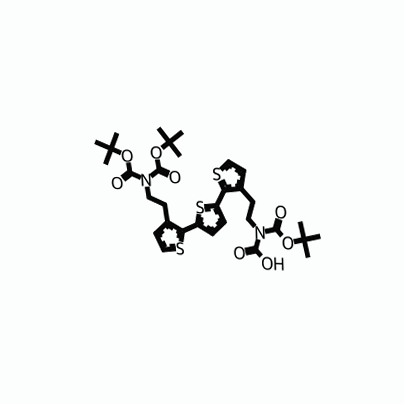 CC(C)(C)OC(=O)N(CCc1ccsc1-c1ccc(-c2sccc2CCN(C(=O)OC(C)(C)C)C(=O)OC(C)(C)C)s1)C(=O)O